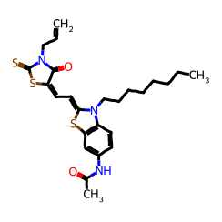 C=CCN1C(=O)/C(=C\C=C2/Sc3cc(NC(C)=O)ccc3N2CCCCCCCC)SC1=S